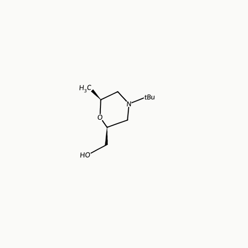 C[C@H]1CN(C(C)(C)C)C[C@@H](CO)O1